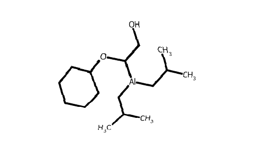 CC(C)[CH2][Al]([CH2]C(C)C)[CH](CO)OC1CCCCC1